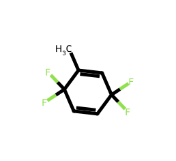 CC1=CC(F)(F)C=CC1(F)F